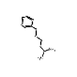 NC(CCSCc1ccccc1)C(F)(F)F